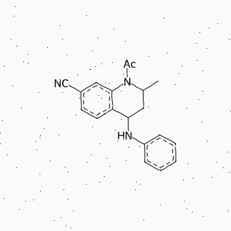 CC(=O)N1c2cc(C#N)ccc2C(Nc2ccccc2)CC1C